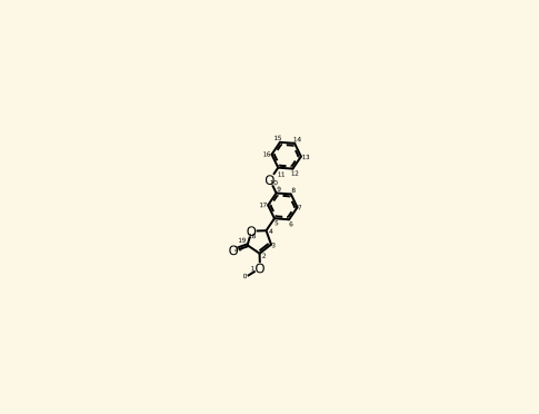 COC1=CC(c2cccc(Oc3ccccc3)c2)OC1=O